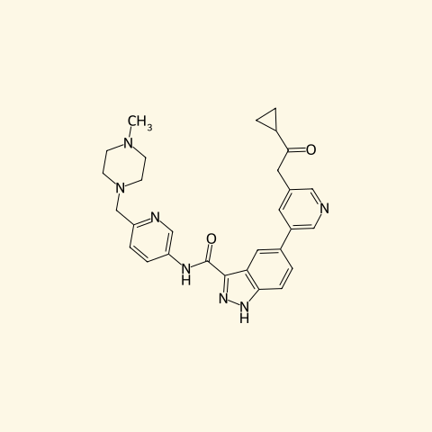 CN1CCN(Cc2ccc(NC(=O)c3n[nH]c4ccc(-c5cncc(CC(=O)C6CC6)c5)cc34)cn2)CC1